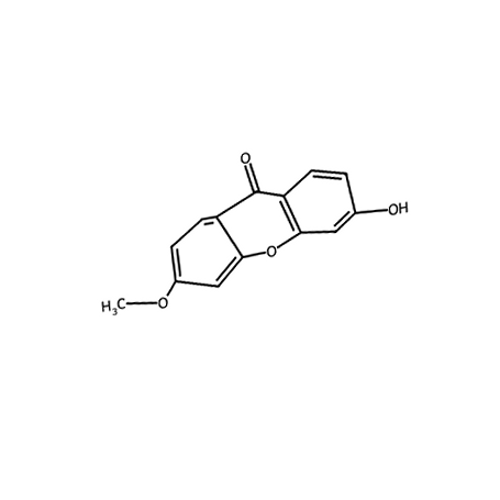 COc1ccc2c(=O)c3ccc(O)cc3oc2c1